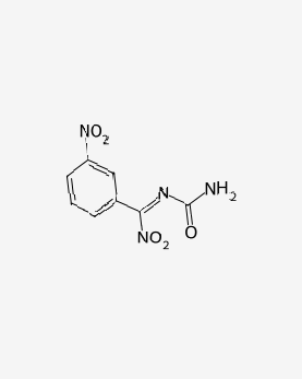 NC(=O)N=C(c1cccc([N+](=O)[O-])c1)[N+](=O)[O-]